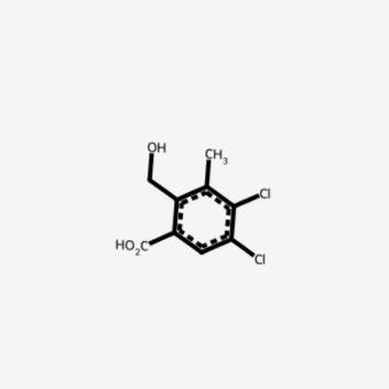 Cc1c(Cl)c(Cl)cc(C(=O)O)c1CO